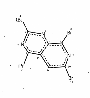 CC(C)c1nc(C(C)(C)C)nc2c(Br)nc(Br)cc12